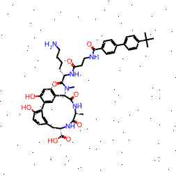 C[C@@H]1NC(=O)[C@@H](N(C)C(=O)[C@H](CCCCN)NC(=O)CCNC(=O)c2ccc(-c3ccc(C(C)(C)C)cc3)cc2)c2ccc(O)c(c2)-c2cc(ccc2O)C[C@@H](C(=O)O)NC1=O